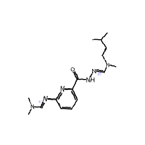 CC(C)CCN(C)/C=N/NC(=O)c1cccc(/N=C/N(C)C)n1